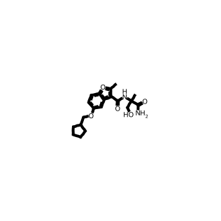 Cc1oc2ccc(OCC3CCCC3)cc2c1C(=O)NC(C)(CO)C(N)=O